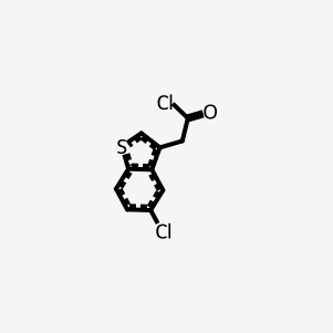 O=C(Cl)Cc1csc2ccc(Cl)cc12